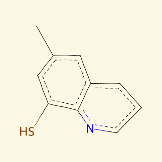 Cc1cc(S)c2ncccc2c1